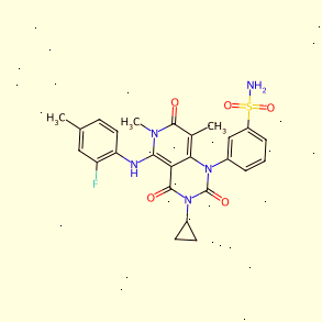 Cc1ccc(Nc2c3c(=O)n(C4CC4)c(=O)n(-c4cccc(S(N)(=O)=O)c4)c3c(C)c(=O)n2C)c(F)c1